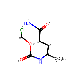 CCOC(=O)C(CCC(N)=O)NC(=O)OCCl